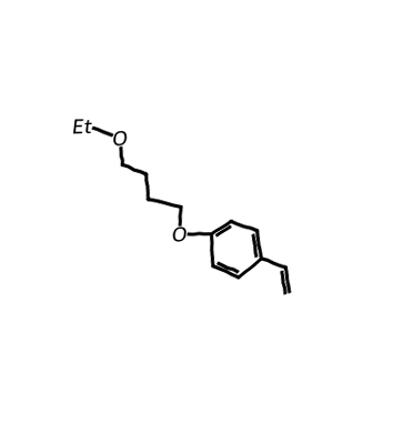 C=Cc1ccc(OCCCCOCC)cc1